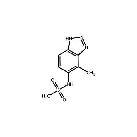 Cc1c(NS(C)(=O)=O)ccc2[nH]nnc12